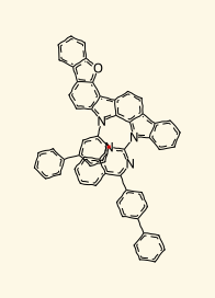 c1ccc(-c2ccc(-c3nc(-n4c5ccccc5c5ccc6c7c8oc9ccccc9c8ccc7n(-c7cccc(-c8ccccc8)c7)c6c54)nc4ccccc34)cc2)cc1